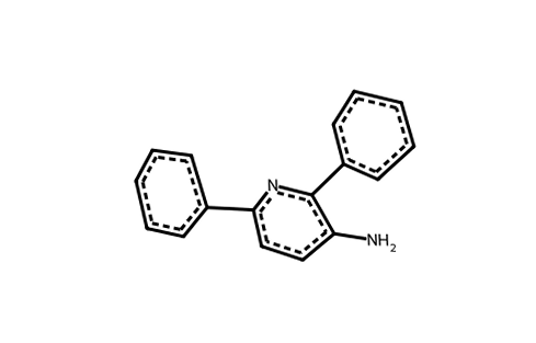 Nc1ccc(-c2ccccc2)nc1-c1ccccc1